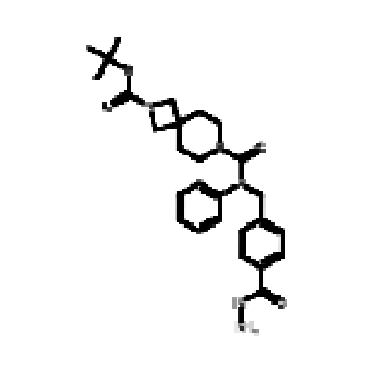 CC(C)(C)OC(=O)N1CC2(CCN(C(=O)N(Cc3ccc(C(=O)NN)cc3)c3ccccc3)CC2)C1